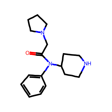 O=C(CN1CCCC1)N(c1ccccc1)C1CCNCC1